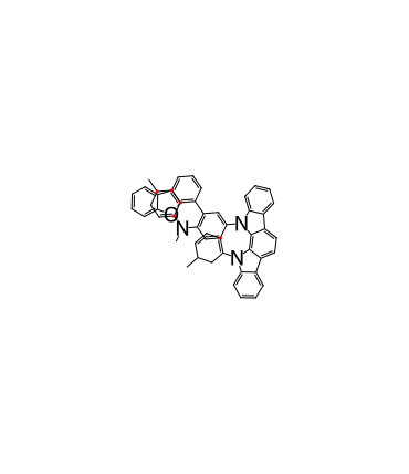 CC1C=CC(N(C)c2ccc(-n3c4ccccc4c4ccc5c6ccccc6n(C6=CC=CC(C)C6)c5c43)cc2-c2cccc3c2oc2ccccc23)=CC1